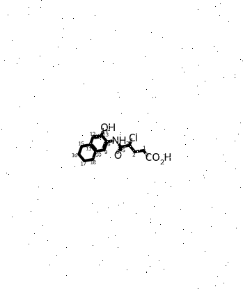 O=C(O)CCC(Cl)C(=O)Nc1cc2c(cc1O)CCCC2